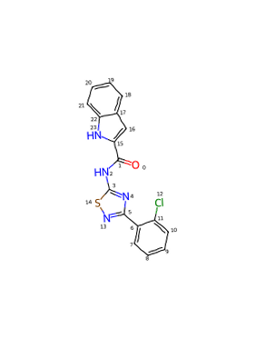 O=C(Nc1nc(-c2ccccc2Cl)ns1)c1cc2ccccc2[nH]1